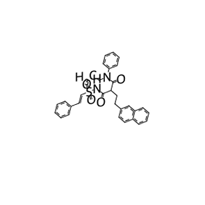 CCN(C(=O)C(CCc1ccc2ccccc2c1)C(=O)NS(=O)(=O)C=Cc1ccccc1)c1ccccc1